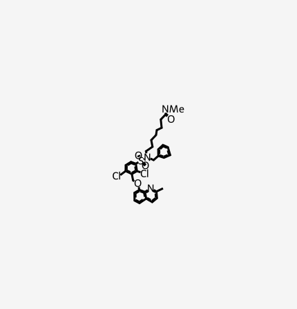 CNC(=O)CCCCCCCN(Cc1ccccc1)S(=O)(=O)c1ccc(Cl)c(COc2cccc3ccc(C)nc23)c1Cl